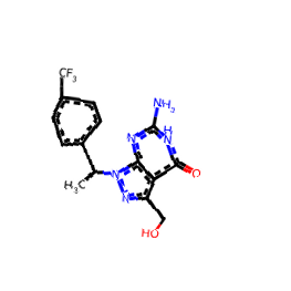 CC(c1ccc(C(F)(F)F)cc1)n1nc(CO)c2c(=O)[nH]c(N)nc21